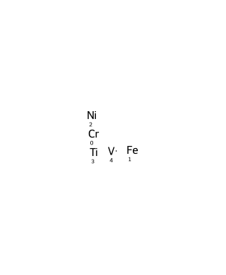 [Cr].[Fe].[Ni].[Ti].[V]